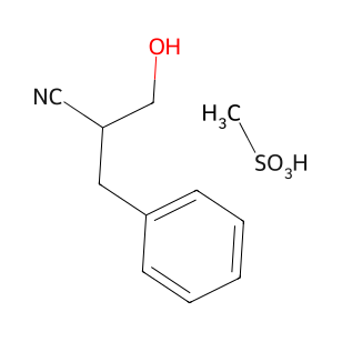 CS(=O)(=O)O.N#CC(CO)Cc1ccccc1